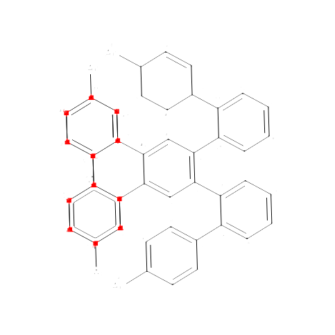 CC(=O)c1ccc(-c2ccccc2-c2cc(-c3ccccc3-c3ccc(C(C)=O)cc3)c(-c3ccccc3C3C=CC(C(C)=O)CC3)cc2-c2ccccc2-c2ccc(C(C)=O)cc2)cc1